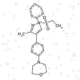 CCS(=O)(=O)[N+]1(c2ccccc2)C=C(c2ccc(N3CCOCC3)cc2)C(C)=N1